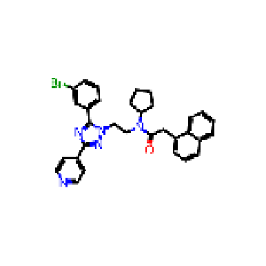 O=C(Cc1cccc2ccccc12)N(CCn1nc(-c2ccncc2)nc1-c1cccc(Br)c1)C1CCCC1